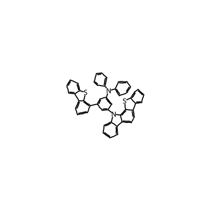 c1ccc(N(c2ccccc2)c2cc(-c3cccc4c3sc3ccccc34)cc(-n3c4ccccc4c4ccc5c6ccccc6sc5c43)c2)cc1